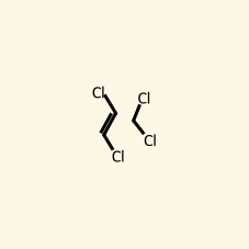 Cl/C=C/Cl.ClCCl